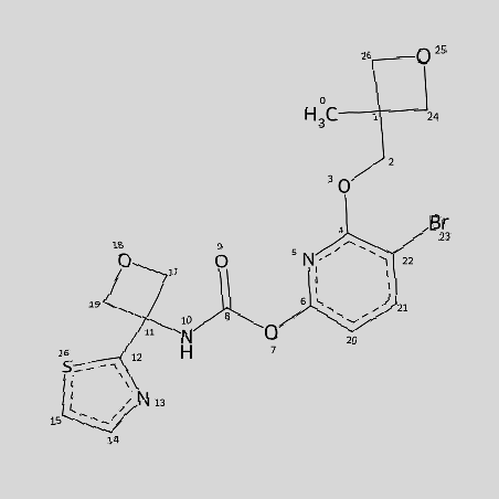 CC1(COc2nc(OC(=O)NC3(c4nccs4)COC3)ccc2Br)COC1